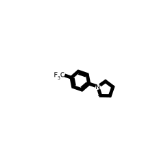 FC(F)(F)c1ccc(N2[CH]CC[CH]2)cc1